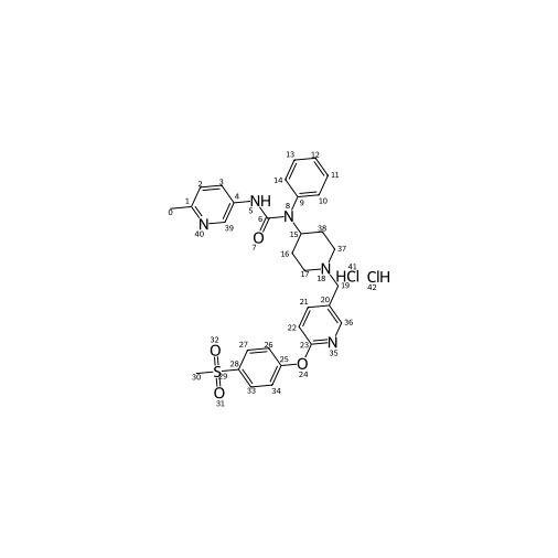 Cc1ccc(NC(=O)N(c2ccccc2)C2CCN(Cc3ccc(Oc4ccc(S(C)(=O)=O)cc4)nc3)CC2)cn1.Cl.Cl